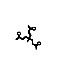 CC(=O)CCC(C)(CCC(C)=O)CCC(C)=O